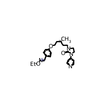 CCO/N=C/c1ccc(OCC[C@@H](C)CCN2CCN(c3ccncc3)C2=O)cc1